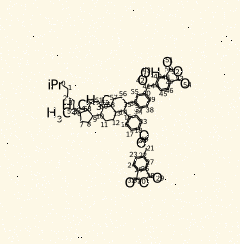 CC(C)CCCC(C)C1CCC2C3CCC4C(c5ccc(OOCc6ccc7c(c6)C(=O)OC7=O)cc5)C(c5cccc(C(OO)c6ccc7c(c6)C(=O)OC7=O)c5)CCC4(C)C3CCC12C